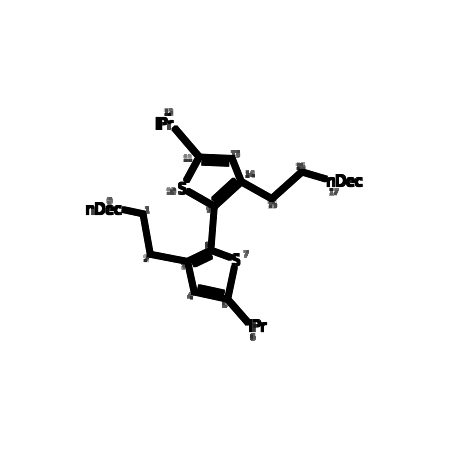 CCCCCCCCCCCCc1cc(C(C)C)sc1-c1sc(C(C)C)cc1CCCCCCCCCCCC